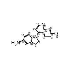 COc1ccc2c(N3CCc4cc(N)ccc43)ccnc2c1